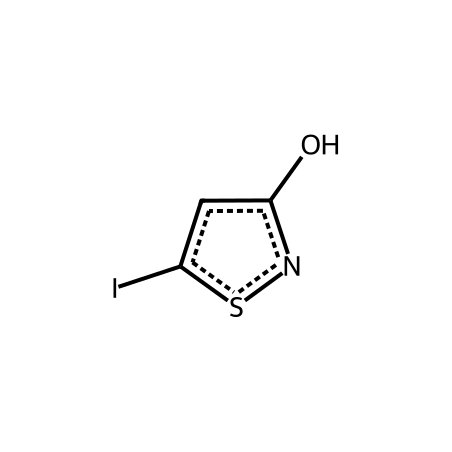 Oc1cc(I)sn1